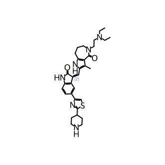 CCN(CC)CCN1CCCc2[nH]c(/C=C3\C(=O)Nc4ccc(-c5csc(C6CCNCC6)n5)cc43)c(C)c2C1=O